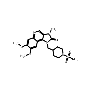 COc1cc2ncc3c(c2cc1OC)n(CC1CCN(S(N)(=O)=O)CC1)c(=O)n3C